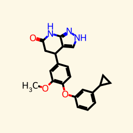 COc1cc(C2CC(=O)Nc3n[nH]cc32)ccc1Oc1cccc(C2CC2)c1